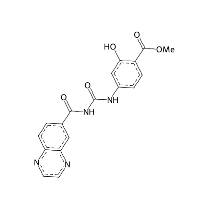 COC(=O)c1ccc(NC(=O)NC(=O)c2ccc3nccnc3c2)cc1O